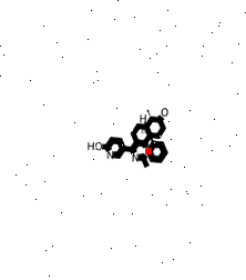 Cc1nc(-c2ccc(O)nc2)c2c(n1)[C@@]1(c3ccccc3)CCC(=O)[C@@H](C)[C@@H]1CC2